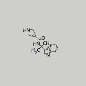 CC(C)(NC(=O)C1C2CNCC21)c1cnc2ccccn12